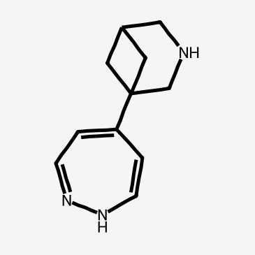 C1=CC(C23CNCC(C2)C3)=CC=NN1